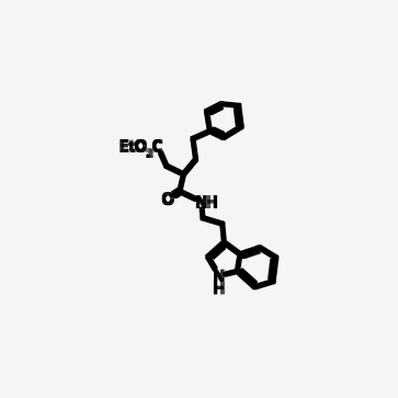 CCOC(=O)CC(CCc1ccccc1)C(=O)NCCc1c[nH]c2ccccc12